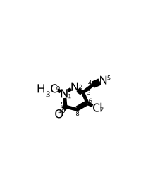 Cn1nc(C#N)c(Cl)cc1=O